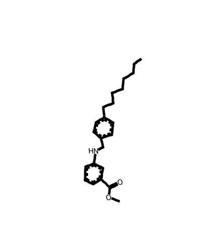 CCCCCCCCc1ccc(CNc2cccc(C(=O)OC)c2)cc1